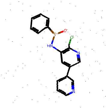 [O-][S+](Nc1cc(-c2cccnc2)cnc1Cl)c1ccccc1